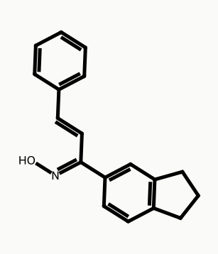 ON=C(/C=C/c1ccccc1)c1ccc2c(c1)CCC2